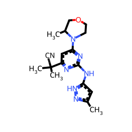 Cc1cc(Nc2nc(N3CCOCC3C)cc(C(C)(C)C#N)n2)[nH]n1